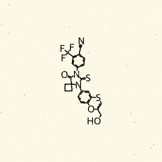 N#Cc1ccc(N2C(=O)C3(CCC3)N(c3ccc4c(c3)SC=C(CO)O4)C2=S)cc1C(F)(F)F